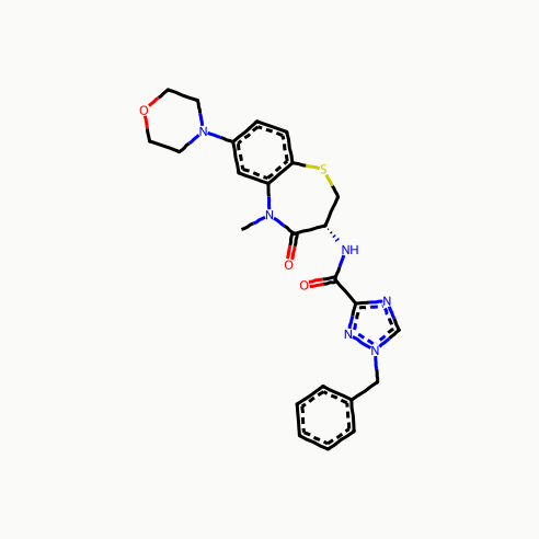 CN1C(=O)[C@@H](NC(=O)c2ncn(Cc3ccccc3)n2)CSc2ccc(N3CCOCC3)cc21